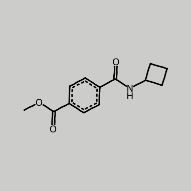 COC(=O)c1ccc(C(=O)NC2CCC2)cc1